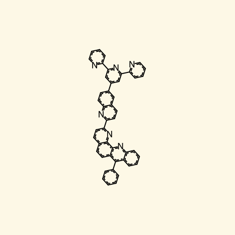 c1ccc(-c2c3ccccc3nc3c2ccc2ccc(-c4ccc5cc(-c6cc(-c7ccccn7)nc(-c7ccccn7)c6)ccc5n4)nc23)cc1